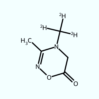 [2H]C([2H])([2H])N1CC(=O)ON=C1C